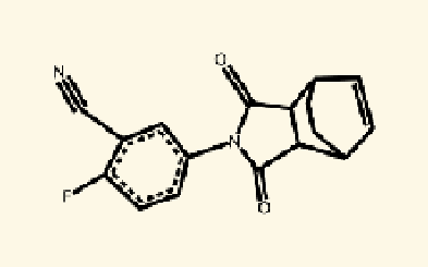 N#Cc1cc(N2C(=O)C3C4C=CC(CC4)C3C2=O)ccc1F